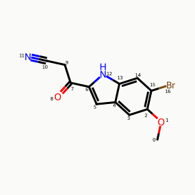 COc1cc2cc(C(=O)CC#N)[nH]c2cc1Br